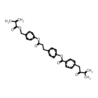 C=C(C)C(=O)Cc1ccc(C(=O)Oc2ccc(CCC(=O)Oc3ccc(COC(=O)C(=C)C)cc3)cc2)cc1